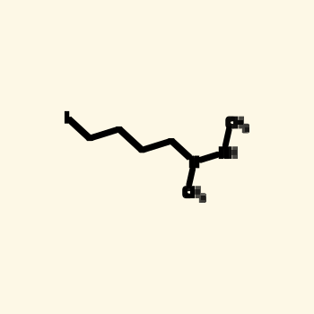 CNN(C)CCCCI